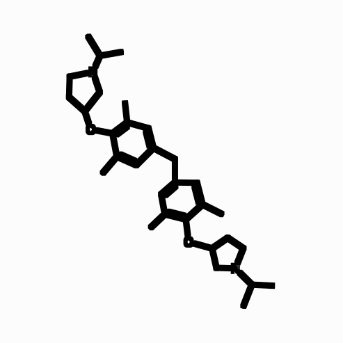 Cc1cc(Cc2cc(C)c(OC3CCN(C(C)C)C3)c(C)c2)cc(C)c1OC1CCN(C(C)C)C1